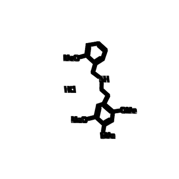 COc1cc(SC)c(OC)cc1CCNCc1ccccc1OC.Cl